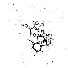 Cc1cccc2c1C[C@H]1NCC[C@@]23CCCC[C@@H]13.O=C(O)C(O)C(O)C(=O)O